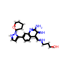 N=C1C(N)=Nc2cc(-c3ccnn3C3CCCCO3)ccc2/C1=C/NCCCO